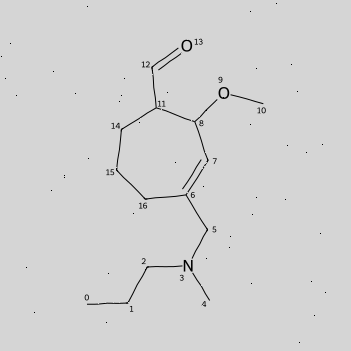 CCCN(C)CC1=CC(OC)C(C=O)CCC1